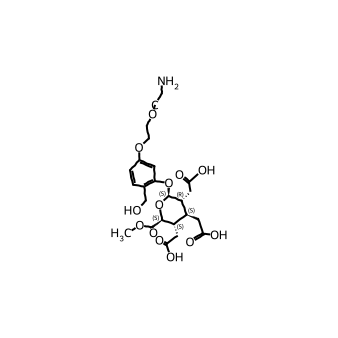 COC(=O)[C@H]1O[C@@H](Oc2cc(OCCOCCN)ccc2CO)[C@H](CC(=O)O)[C@@H](CC(=O)O)[C@@H]1CC(=O)O